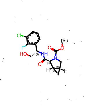 CC(C)(C)OC(=O)N1C[C@@H]2C[C@@H]2[C@H]1C(=O)N[C@H](CO)c1cccc(Cl)c1F